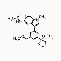 COCc1cc(-c2cn(C)c3cnc(NC(N)=O)cc23)nc([C@]2(OC)CCOC2)c1